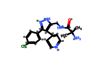 CC(C)(N)C(=O)NCc1[nH]nc(-c2ccc(Cl)cc2)c1-c1ccncc1